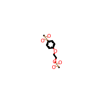 CS(=O)(=O)OCCOc1ccc(S(C)(=O)=O)cc1